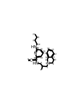 C=C=C(NCC(C)CN1CCc2ccccc2C1)c1cccc(NCCCC)n1